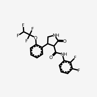 O=C1NCC(c2ccccc2OC(F)(F)C(F)F)C1C(=O)Nc1cccc(F)c1F